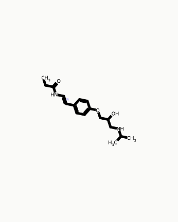 CCC(=O)N/C=C/c1ccc(OCC(O)CNC(C)C)cc1